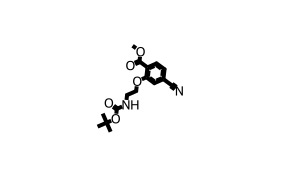 COC(=O)c1ccc(C#N)cc1OCCNC(=O)OC(C)(C)C